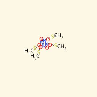 CCSCCOCN1C(=O)N(COCCSCC)C2C1N(COCCSCC)C(=O)N2COCCSCC